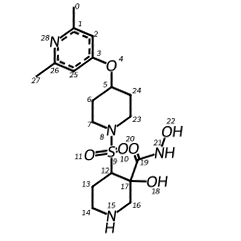 Cc1cc(OC2CCN(S(=O)(=O)C3CCNCC3(O)C(=O)NO)CC2)cc(C)n1